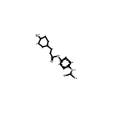 CCC1CCC(CCC(=O)Oc2ccc(OC(F)F)cc2)CC1